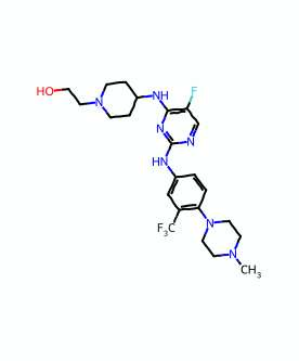 CN1CCN(c2ccc(Nc3ncc(F)c(NC4CCN(CCO)CC4)n3)cc2C(F)(F)F)CC1